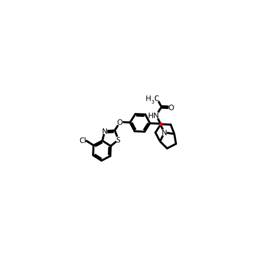 CC(=O)NC1CC2CCC(C1)N2Cc1ccc(Oc2nc3c(Cl)cccc3s2)cc1